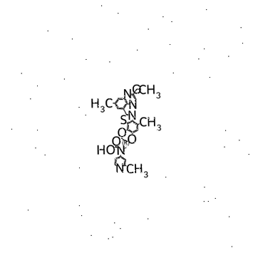 COc1cnc2c(-c3nc4c(C)cc5c(c4s3)OC[C@@H](CN(C(=O)O)c3ccnc(C)c3)O5)cc(C)cc2n1